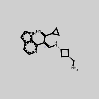 N=C(/C(=C\N[C@H]1C[C@H](CN)C1)c1nccc2cc[nH]c12)C1CC1